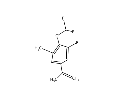 C=C(C)c1cc(C)c(OC(F)F)c(F)c1